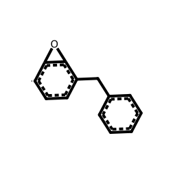 [c]1ccc(Cc2ccccc2)c2c1O2